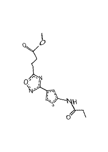 CCC(=O)Nc1cc(-c2noc(CCC(=O)OC)n2)cs1